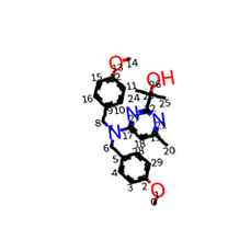 COc1ccc(CN(Cc2ccc(OC)cc2)c2cc(C)nc(C(C)(C)O)n2)cc1